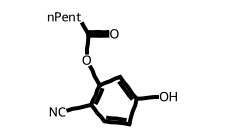 CCCCCC(=O)Oc1cc(O)ccc1C#N